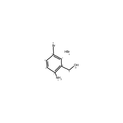 Br.Nc1ccc(Br)cc1CO